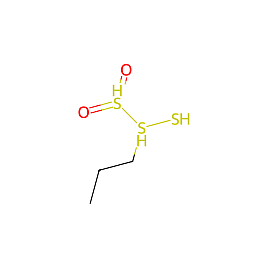 CCC[SH](S)[SH](=O)=O